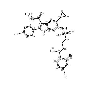 CNC(=O)c1c(-c2ccc(F)cc2)oc2cc(NS(=O)(=O)CCCC(O)c3ccc(F)cc3Br)c(C3CC3)cc12